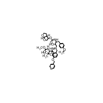 COC(=O)NC(C(=O)NN(Cc1ccc(OCc2ccncc2)cc1)C[C@H](O)[C@H](Cc1ccc(OC)cc1)NC(=O)O[C@H]1CO[C@H]2OCC[C@H]21)C(C)(C)C